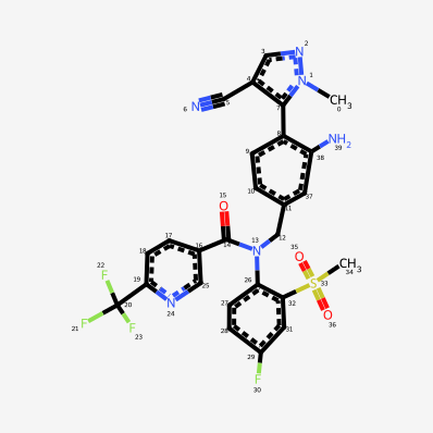 Cn1ncc(C#N)c1-c1ccc(CN(C(=O)c2ccc(C(F)(F)F)nc2)c2ccc(F)cc2S(C)(=O)=O)cc1N